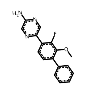 COc1c(-c2ccccc2)ccc(-c2cnc(N)cn2)c1F